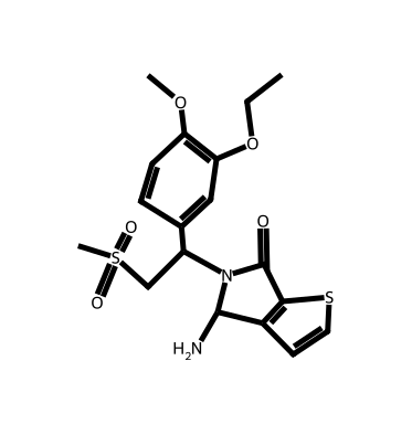 CCOc1cc(C(CS(C)(=O)=O)N2C(=O)c3sccc3C2N)ccc1OC